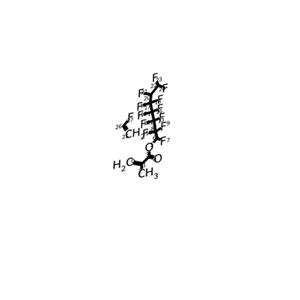 C=C(C)C(=O)OC(F)C(F)(F)C(F)(F)C(F)(F)C(F)(F)C(F)C(F)F.C=CF